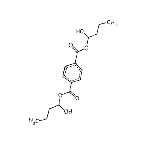 CCCC(O)OC(=O)c1ccc(C(=O)OC(O)CCC)cc1